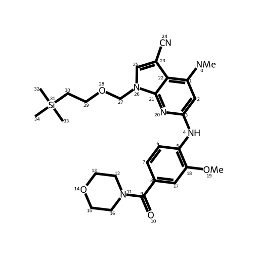 CNc1cc(Nc2ccc(C(=O)N3CCOCC3)cc2OC)nc2c1c(C#N)cn2COCC[Si](C)(C)C